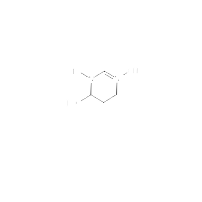 CCN1C=[N+](C)CCC1C